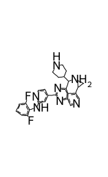 NC(c1nc(-c2ccnc(Nc3c(F)cccc3F)c2)nc2cncc(C3CC3)c12)C1CCNCC1